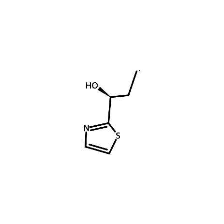 [CH2]C[C@H](O)c1nccs1